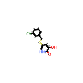 O=c1[nH]cc(SCc2cccc(Cl)c2)cc1O